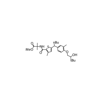 CCCCC(c1ccc(OCC(O)C(C)(C)C)c(C)c1)c1cc(C)c(C(=O)NC(C)(C)C(=O)OC)s1